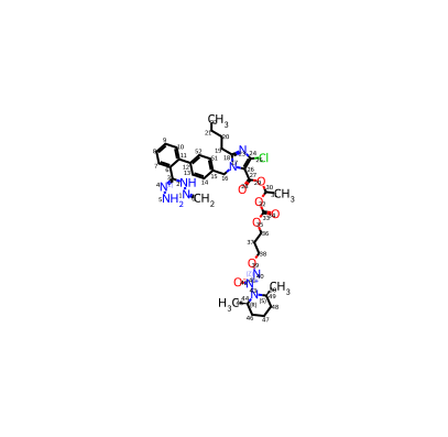 C=NN/C(=N\N)c1ccccc1-c1ccc(Cn2c(CCCC)nc(Cl)c2C(=O)OC(C)OC(=O)OCCCO/N=[N+](\[O-])N2[C@H](C)CCC[C@@H]2C)cc1